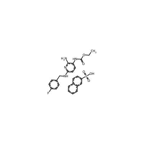 CCOC(=O)Nc1ccc(NCc2ccc(F)cc2)nc1N.O=S(=O)(O)c1ccc2ccccc2c1